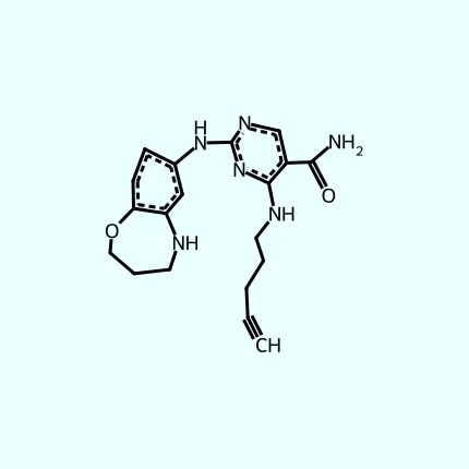 C#CCCCNc1nc(Nc2ccc3c(c2)NCCCO3)ncc1C(N)=O